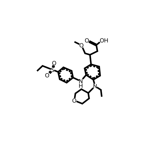 CCN(c1ccc(C(COC)CC(=O)O)cc1Nc1ccc(S(=O)(=O)CC)cc1)C1CCOCC1